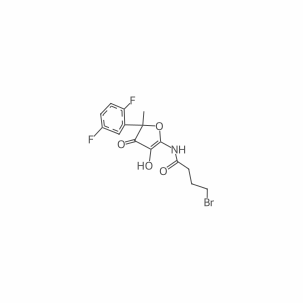 CC1(c2cc(F)ccc2F)OC(NC(=O)CCCBr)=C(O)C1=O